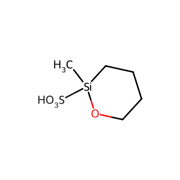 C[Si]1(S(=O)(=O)O)CCCCO1